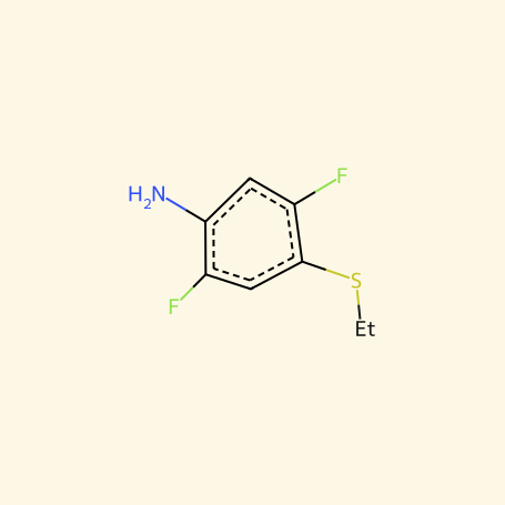 CCSc1cc(F)c(N)cc1F